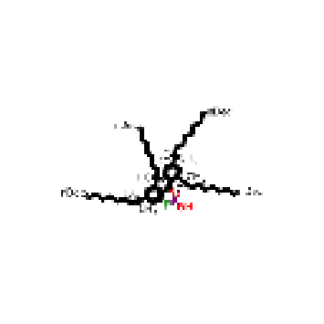 CCCCCCCCCCCCCCCCCC(C)(C)c1ccc(C(OP(O)F)c2ccc(C(C)(C)CCCCCCCCCCCCCCCCC)cc2C(C)(C)CCCCCCCCCCCCCCCCC)c(C(C)(C)CCCCCCCCCCCCCCCCC)c1